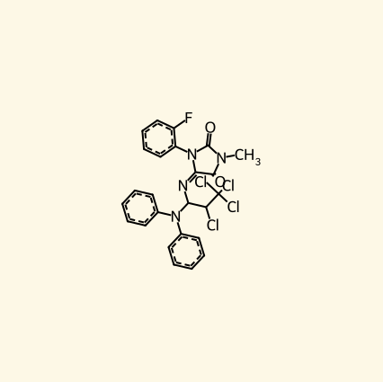 CN1C(=O)C(=NC(C(Cl)C(Cl)(Cl)Cl)N(c2ccccc2)c2ccccc2)N(c2ccccc2F)C1=O